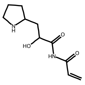 C=CC(=O)NC(=O)C(O)CC1CCCN1